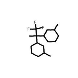 CC1CCCC(C(C)(C2CCCC(C)C2)C(F)(F)F)C1